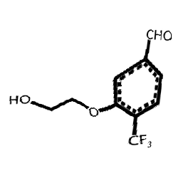 O=Cc1ccc(C(F)(F)F)c(OCCO)c1